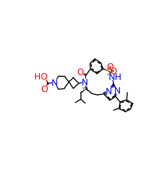 Cc1cccc(C)c1-c1cc2nc(n1)NS(=O)(=O)c1cccc(c1)C(=O)N(C1CC3(CCN(C(=O)O)CC3)C1)[C@H](CC(C)C)CC2